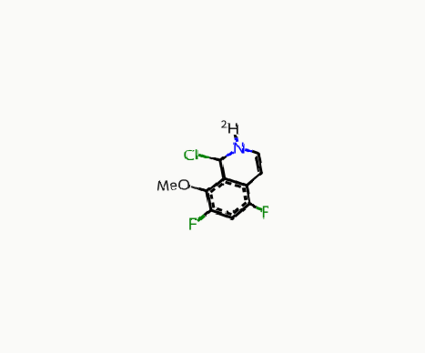 [2H]N1C=Cc2c(F)cc(F)c(OC)c2C1Cl